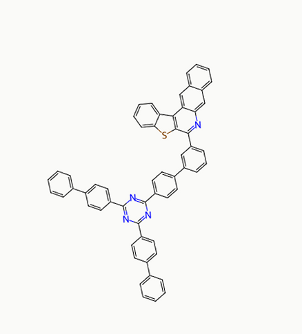 c1ccc(-c2ccc(-c3nc(-c4ccc(-c5ccccc5)cc4)nc(-c4ccc(-c5cccc(-c6nc7cc8ccccc8cc7c7c6sc6ccccc67)c5)cc4)n3)cc2)cc1